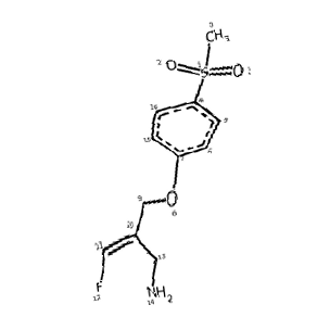 CS(=O)(=O)c1ccc(OC/C(=C/F)CN)cc1